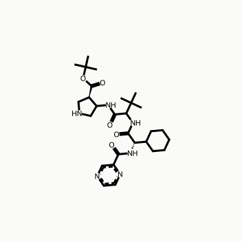 CC(C)(C)OC(=O)[C@@H]1CNCC1NC(=O)C(NC(=O)[C@@H](NC(=O)c1cnccn1)C1CCCCC1)C(C)(C)C